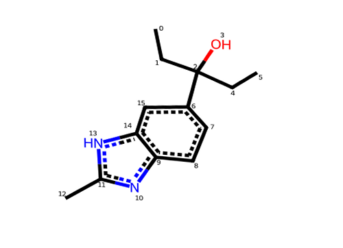 CCC(O)(CC)c1ccc2nc(C)[nH]c2c1